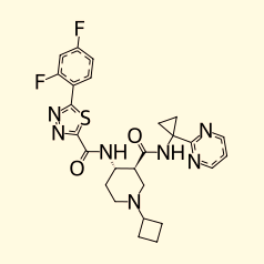 O=C(N[C@H]1CCN(C2CCC2)C[C@@H]1C(=O)NC1(c2ncccn2)CC1)c1nnc(-c2ccc(F)cc2F)s1